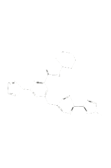 Cn1ccc(-c2ccc(Cc3cc(C(=O)NC4CCOCC4)nc(-n4cccn4)c3)cc2)n1